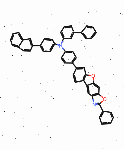 c1ccc(-c2cccc(N(c3ccc(-c4ccc5ccccc5c4)cc3)c3ccc(-c4ccc5c(c4)oc4cc6oc(-c7ccccc7)nc6cc45)cc3)c2)cc1